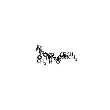 Cc1ccc(-c2cc(C(F)(F)F)nn2-c2ccc(S(=O)(=O)NC(=O)C3CN(/[N+]([O-])=N\OC(C)OC(=O)OC(C)C)C3)cc2)cc1